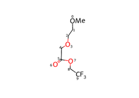 COCCOCC(=O)OCC(F)(F)F